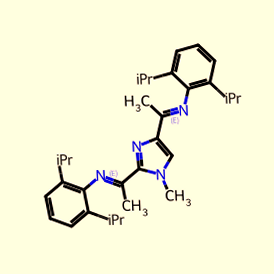 C/C(=N\c1c(C(C)C)cccc1C(C)C)c1cn(C)c(/C(C)=N/c2c(C(C)C)cccc2C(C)C)n1